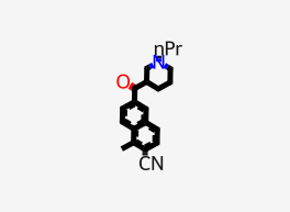 CCCN1CCCC(C(=O)c2ccc3c(C)c(C#N)ccc3c2)C1